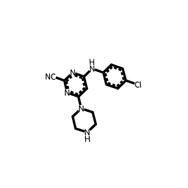 N#Cc1nc(Nc2ccc(Cl)cc2)cc(N2CCNCC2)n1